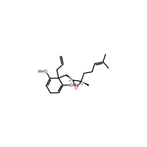 C=CCC1(C[C@@H]2O[C@@]2(C)CCC=C(C)C)C(OC)=CCC=C1OC